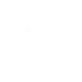 COc1ccc(CN2C(=O)C3CC(c4ccc(Br)cc4)(C3)C2=O)cc1